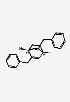 C1=C(Cc2ccccc2)[C@H]2C=C(Cc3ccccc3)[C@@H]1CC2